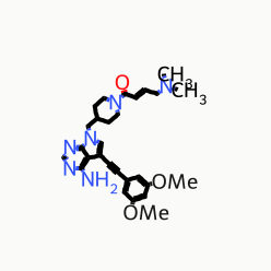 COc1cc(C#Cc2cn(CC3CCN(C(=O)C=CCN(C)C)CC3)c3ncnc(N)c23)cc(OC)c1